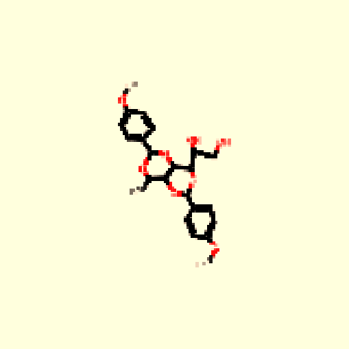 CCCOc1ccc(C2OC(C(O)CO)C3OC(c4ccc(OCCC)cc4)OC(CCC)C3O2)cc1